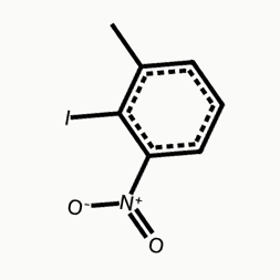 Cc1cccc([N+](=O)[O-])c1I